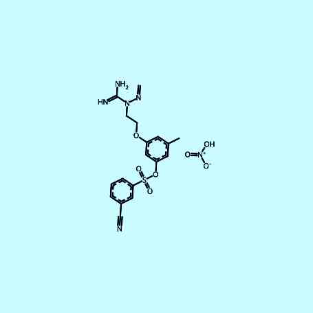 C=NN(CCOc1cc(C)cc(OS(=O)(=O)c2cccc(C#N)c2)c1)C(=N)N.O=[N+]([O-])O